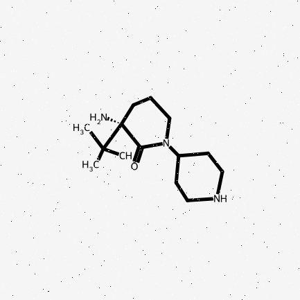 CC(C)(C)[C@@]1(N)CCCN(C2CCNCC2)C1=O